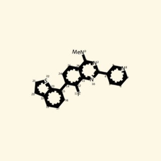 CNc1nc(-c2cccnc2)nc2c(F)c(-c3cccc4ccsc34)ccc12